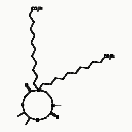 CCOC(=O)CCCCCCCCCCC[N+]1(CCCCCCCCCCC(=O)OCC)CCN(C)C(=O)COC(C)C(C)OCC1=O